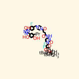 CC(C)c1cc(-c2nnc(O)n2-c2ccc(CN3CCN(C(=O)CCC(=O)Nc4ccn([C@@H]5O[C@H](CO[Si](C)(C)C(C)(C)C)[C@@H](O[Si](C)(C)C(C)(C)C)C5(F)F)c(=O)n4)CC3)c(F)c2)c(O)cc1O